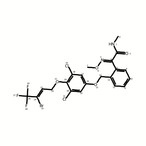 CNC(=O)/C(=N/OC)c1ccccc1COc1cc(Cl)c(OC/C=C(\Br)C(F)(F)F)c(Cl)c1